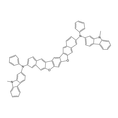 Cn1c2ccccc2c2ccc(N(c3ccccc3)c3ccc4cc5c(cc4c3)oc3cc4oc6cc7cc(N(c8ccccc8)c8ccc9c%10ccccc%10n(C)c9c8)ccc7cc6c4cc35)cc21